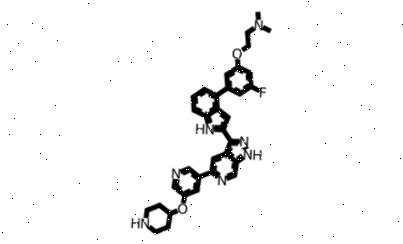 CN(C)CCOc1cc(F)cc(-c2cccc3[nH]c(-c4n[nH]c5cnc(-c6cncc(OC7CCNCC7)c6)cc45)cc23)c1